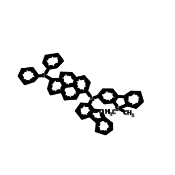 C[Si]1(C)c2ccccc2-c2ccc(N(c3ccc4ccc5c(N(c6ccccc6)c6ccccc6)ccc6ccc3c4c65)c3cccc4c3oc3ccccc34)cc21